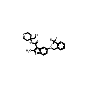 Cc1oc2ccc(OCc3cccnc3C(F)(F)F)cc2c1C(=O)NC1(CO)CCOCC1